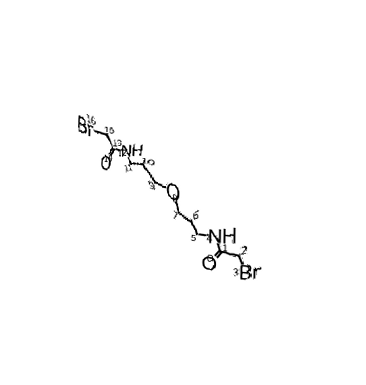 O=C(CBr)NCCCOCCCNC(=O)CBr